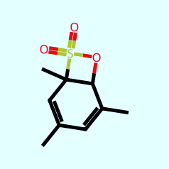 CC1=CC2(C)C(OS2(=O)=O)C(C)=C1